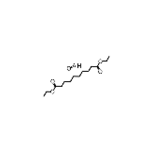 CCOC(=O)CCCCCCCCC(=O)OCC.[O]=[AlH]